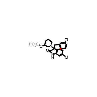 O=C(O)OC1CCCN(C2(Cc3cccc(Cl)c3)C(=O)Nc3cc(Cl)ccc32)C1